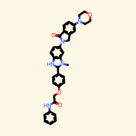 CN1c2cc(N3Cc4cc(N5CCOCC5)ccc4C3=O)ccc2NC1c1ccc(OCC(=O)Nc2ccccc2)cc1